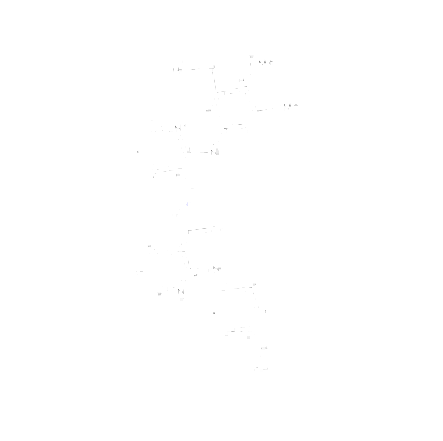 COc1cc(Nc2ncccc2/C=C/C(=O)c2cccnc2Nc2ccc(CO)cc2)cc(CO)c1OC